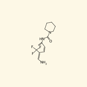 C=C(/C=C\C(=C/N)C(F)(F)F)NC(=O)N1CCCCC1